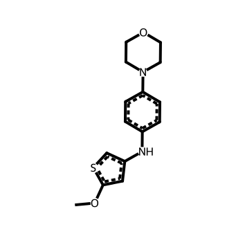 COc1cc(Nc2ccc(N3CCOCC3)cc2)cs1